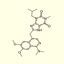 COc1cc2c(Cc3nc4c([nH]3)c(=O)n(C)c(=O)n4CC(C)C)cnc(N(C)C)c2cc1OC